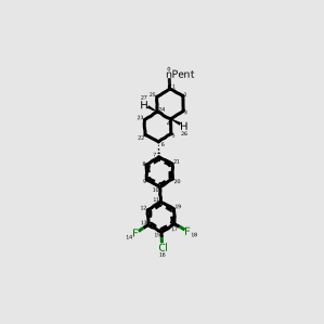 CCCCCC1CC[C@@H]2C[C@H](c3ccc(-c4cc(F)c(Cl)c(F)c4)cc3)CC[C@@H]2C1